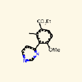 CCOC(=O)c1ccc(OC)c(-c2ccncn2)c1C